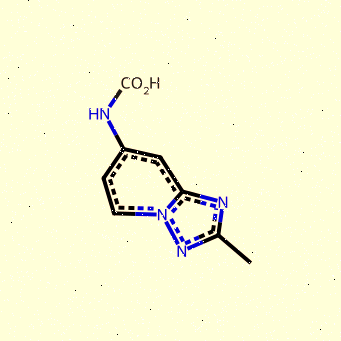 Cc1nc2cc(NC(=O)O)ccn2n1